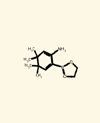 CC1(C)C=C(N)C(B2OCCO2)=CC1(C)C